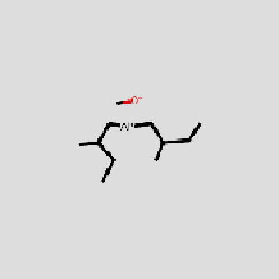 CCC(C)[CH2][Al+][CH2]C(C)CC.C[O-]